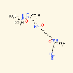 [N-]=[N+]=NCCCCC(NC(=O)CCCCCCC(=O)NCCCC[C@H](NC(=O)N[C@@H](CCC(=O)O)C(=O)O)C(=O)O)C(=O)O